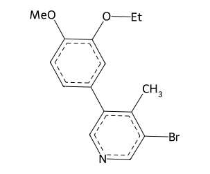 CCOc1cc(-c2cncc(Br)c2C)ccc1OC